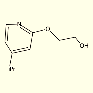 CC(C)c1ccnc(OCCO)c1